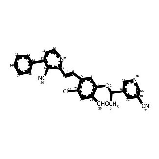 CC(Oc1cc(/C=C/c2nccc(-c3ccccc3)c2C#N)c(Cl)cc1C=O)c1cncc(C#N)c1